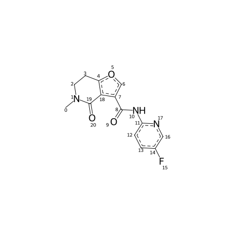 CN1CCc2occ(C(=O)Nc3ccc(F)cn3)c2C1=O